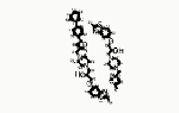 Cc1cc(CN2CCN(CC(O)COc3ccc4sc(C)nc4c3)CC2)no1.Cc1nc2cc(OC[C@H](O)CN3CCN(Cc4cc(-c5ccc(-c6ccccc6)cc5)on4)[C@@H](C)C3)ccc2s1